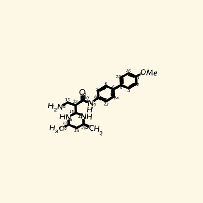 COc1ccc(-c2ccc(NC(=O)C(CN)C3NC(C)CC(C)N3)cc2)cc1